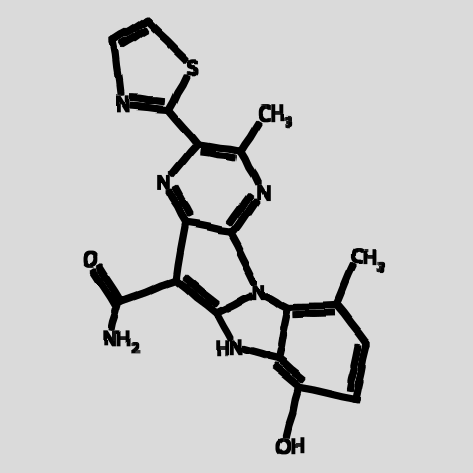 Cc1nc2c(nc1-c1nccs1)c(C(N)=O)c1[nH]c3c(O)ccc(C)c3n12